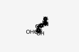 O=Cc1cc(C(=O)N2CCC(c3cncc(N4CCCC4)n3)CC2)cc(F)c1O